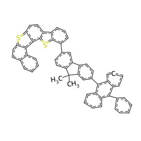 CC1(C)c2ccc(-c3cccc4c3sc3c4ccc4sc5ccc6ccccc6c5c43)cc2-c2ccc(-c3c4ccccc4c(-c4ccccc4)c4ccccc34)cc21